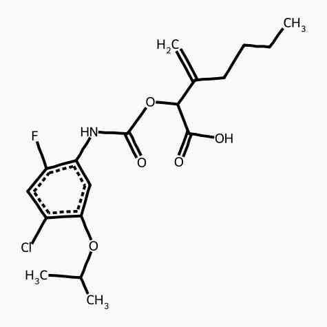 C=C(CCCC)C(OC(=O)Nc1cc(OC(C)C)c(Cl)cc1F)C(=O)O